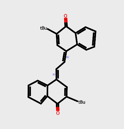 CC(C)(C)C1=C/C(=C\C=C2/C=C(C(C)(C)C)C(=O)c3ccccc32)c2ccccc2C1=O